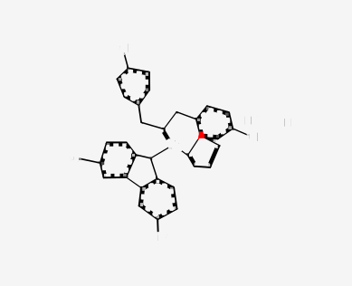 CC(C)(C)c1ccc2c(c1)-c1cc(C(C)(C)C)ccc1[CH]2[Zr]([C]1=CC=CC1)=[C](Cc1ccc(Cl)cc1)Cc1ccc(Cl)cc1.Cl.Cl